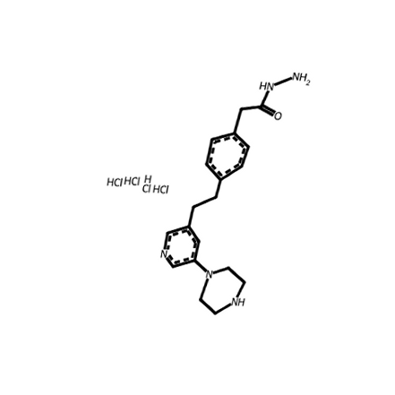 Cl.Cl.Cl.Cl.NNC(=O)Cc1ccc(CCc2cncc(N3CCNCC3)c2)cc1